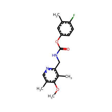 COc1c(C)cnc(CNC(=O)Oc2ccc(F)c(C)c2)c1C